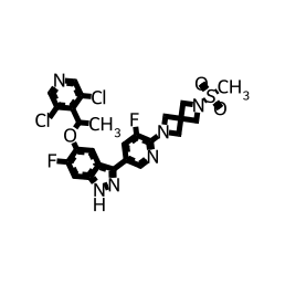 CC(Oc1cc2c(-c3cnc(N4CC5(C4)CN(S(C)(=O)=O)C5)c(F)c3)n[nH]c2cc1F)c1c(Cl)cncc1Cl